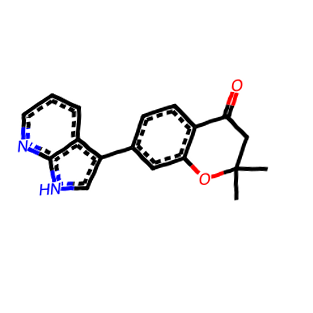 CC1(C)CC(=O)c2ccc(-c3c[nH]c4ncccc34)cc2O1